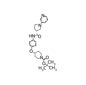 CC(C)(C)OC(=O)N1CCC(Oc2ccc(NC(=O)[C@@H]3CCN(c4cccnc4)C3)cc2)CC1